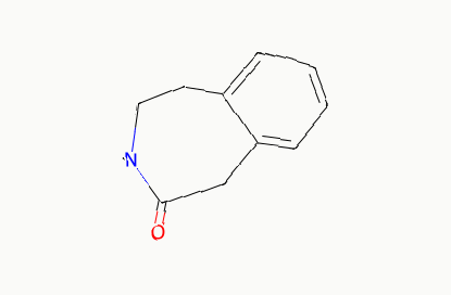 O=C1Cc2ccccc2CC[N]1